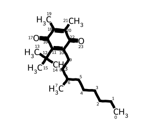 CCCCCCC(C)CCC1=C(C(C)(C)C)C(=O)C(C)=C(C)C1=O